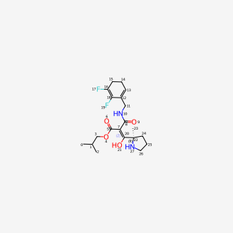 CC(C)COC(=O)/C(C(=O)NCC1=CCCC(F)=C1F)=C(\O)[C@@]1(C)CCCN1